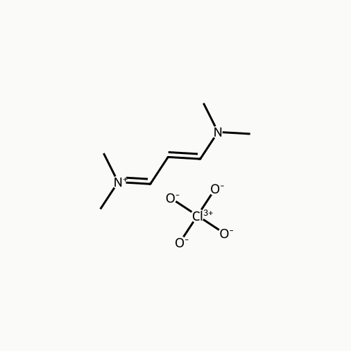 CN(C)C=CC=[N+](C)C.[O-][Cl+3]([O-])([O-])[O-]